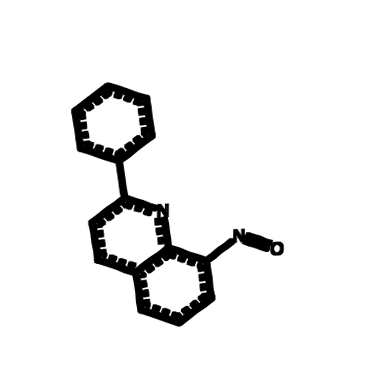 O=Nc1cccc2ccc(-c3ccccc3)nc12